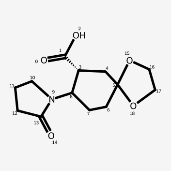 O=C(O)[C@@H]1CC2(CCC1N1CCCC1=O)OCCO2